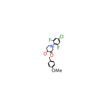 COc1ccc(CO[C@@H]2CN(c3c(F)cc(Cl)cc3F)CCC2=O)cc1